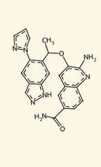 CC(Oc1cc2cc(C(N)=O)ccc2nc1N)c1cc2[nH]ncc2cc1-n1cccn1